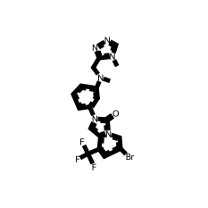 CN(Cc1nncn1C)c1cccc(-n2cc3c(C(F)(F)F)cc(Br)cn3c2=O)c1